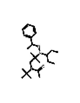 CCC(CC)N(OC(C)c1ccccc1)C(C)(C)CN(C(C)=O)C(C)(C)C